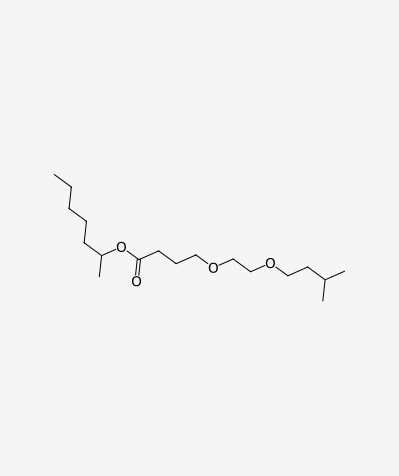 CCCCCC(C)OC(=O)CCCOCCOCCC(C)C